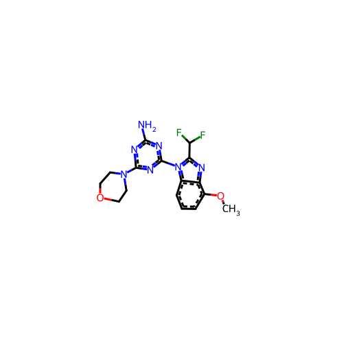 COc1cccc2c1nc(C(F)F)n2-c1nc(N)nc(N2CCOCC2)n1